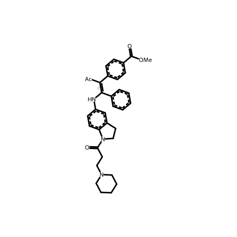 COC(=O)c1ccc(/C(C(C)=O)=C(/Nc2ccc3c(c2)CCN3C(=O)CCN2CCCCC2)c2ccccc2)cc1